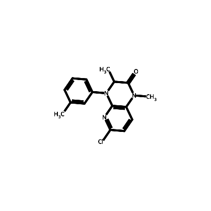 Cc1cccc(N2c3nc(Cl)ccc3N(C)C(=O)C2C)c1